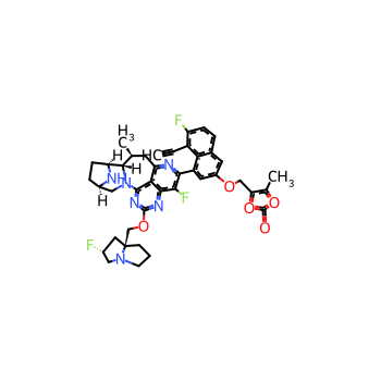 C#Cc1c(F)ccc2cc(OCc3oc(=O)oc3C)cc(-c3nc4c5c(nc(OC[C@@]67CCCN6C[C@H](F)C7)nc5c3F)N3C[C@H]5CC[C@H](N5)[C@@H]3[C@@H](C)C4)c12